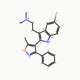 Cc1onc(-c2ccccc2)c1-c1[nH]c2ccc(F)cc2c1CCN(C)C